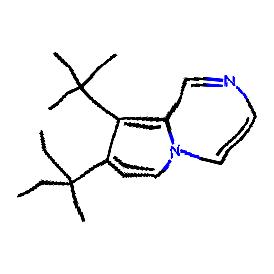 CC(C)(C)c1cn2ccncc2c1C(C)(C)C